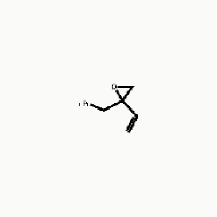 C=CC1(CCCC)CO1